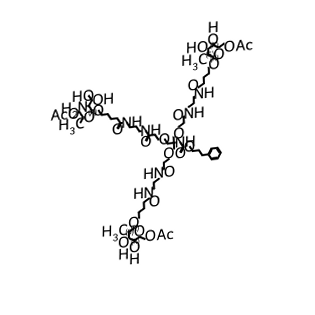 CC(=O)OCC(C)O[C@@H](OCCCCC(=O)NCCCNC(=O)CCOCC(COCCC(=O)NCCCNC(=O)CCCCO[C@@H]1OC(COC(C)=O)[C@H](O)C(O)[C@@H]1C)(COCCC(=O)NCCCNC(=O)CCCCO[C@@H]1OC(COC(C)=O)[C@H](O)C(O)[C@@H]1C)NC(=O)OCCCc1ccccc1)C(N)C(O)O